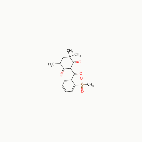 CC1CC(C)(C)C(=O)C(C(=O)c2ccccc2S(C)(=O)=O)C1=O